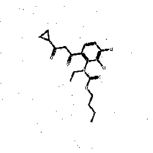 CCCCOC(=O)N(CC)c1c(C(=O)CC(=O)C2CC2)ccc(Cl)c1Cl